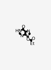 CCC(=O)On1cnc2c(=O)[nH]cnc21